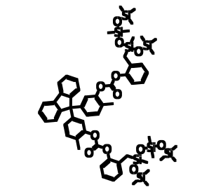 Cc1ccc(C2(c3ccc(C)c(OC(=O)Oc4ccccc4C[Si](C)(O[Si](C)(C)C)O[Si](C)(C)O[Si](C)(C)C)c3)c3ccccc3-c3ccccc32)cc1OC(=O)Oc1ccccc1C[Si](C)(O[Si](C)(C)C)O[Si](C)(C)O[Si](C)(C)C